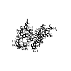 CC(C)C[C@H](NC(=O)CNC(=O)[C@H](CO)NC(=O)[C@H](CO)NC(=O)[C@H](CCC(N)=O)NC(=O)[C@H](CC(C)C)NC(=O)[C@@H](NC(=O)[C@H](C)NC(=O)[C@@H]1CCCN1C(=O)[C@H](Cc1ccccc1)NC(=O)[C@@H](NC(=O)[C@H](Cc1c[nH]cn1)NC(=O)[C@@H](NC(=O)CNC(=O)[C@H](CO)NC(=O)[C@@H](NC(=O)[C@H](CC(C)C)NC(=O)[C@H](C)NC(=O)CN)[C@@H](C)O)C(C)C)[C@@H](C)O)C(C)C)C(=O)N[C@@H](Cc1ccc(O)cc1)C(=O)O